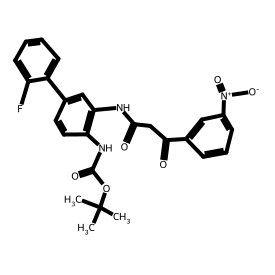 CC(C)(C)OC(=O)Nc1ccc(-c2ccccc2F)cc1NC(=O)CC(=O)c1cccc([N+](=O)[O-])c1